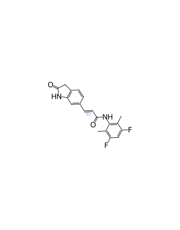 Cc1c(F)cc(F)c(C)c1NC(=O)/C=C/c1ccc2c(c1)NC(=O)C2